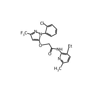 CCc1ccc(C)nc1NC(=O)COc1cc(C(F)(F)F)nn1-c1ccccc1Cl